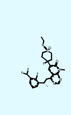 CCN=S1(=O)CCC(F)(c2cc3c(C[C@H](C)c4cccc(C(F)F)c4F)ncnc3n(C)c2=O)CC1